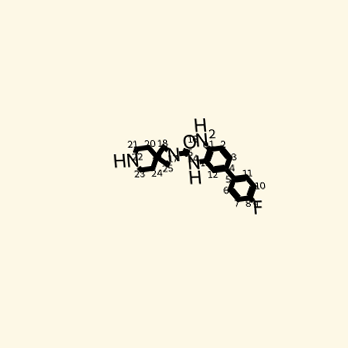 Nc1ccc(-c2ccc(F)cc2)cc1NC(=O)N1CC2(CCNCC2)C1